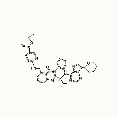 CCOC(=O)c1cnc(NCc2cccc3nc([C@H](CC)Nc4ncnc5c4ncn5C4CCCCO4)n(-c4ccccc4)c(=O)c23)nc1